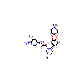 CCc1cc(NC(=O)C(=O)N2C[C@@H](C)CC[C@@H]2c2ccc3c(c2)OC2(CCN(C)CC2)O3)cnc1N